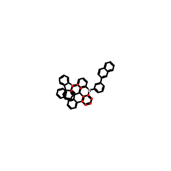 c1ccc(-c2ccccc2-c2c(-c3ccccc3)cccc2-c2cccc(N(c3cccc(-c4ccc5ccccc5c4)c3)c3cccc(-n4c5ccccc5c5ccccc54)c3)c2)cc1